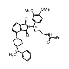 CCCC(=O)NCCC[C@H](c1ccc(OC)c(OC)c1)N1C(=O)c2cccc(N3CCN([C@H](C)c4ccccc4)CC3)c2C1=O